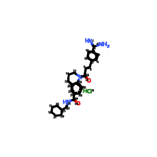 Cl.N=C(N)c1ccc(CCC(=O)N2CCCc3cc(C(=O)NCC4CCCCC4)ccc32)cc1